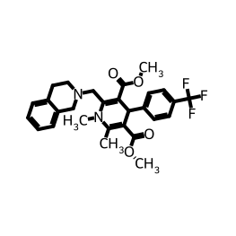 COC(=O)C1=C(C)N(C)C(CN2CCc3ccccc3C2)=C(C(=O)OC)C1c1ccc(C(F)(F)F)cc1